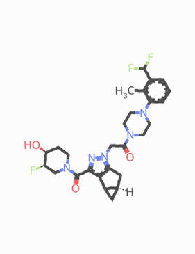 Cc1c(C(F)F)cccc1N1CCN(C(=O)Cn2nc(C(=O)N3CC[C@H](O)[C@H](F)C3)c3c2C[C@H]2CC32)CC1